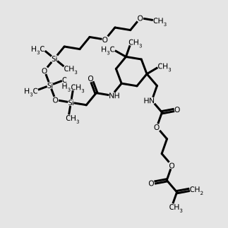 C=C(C)C(=O)OCCOC(=O)NCC1(C)CC(NC(=O)C[Si](C)(C)O[Si](C)(C)O[Si](C)(C)CCCOCCOC)CC(C)(C)C1